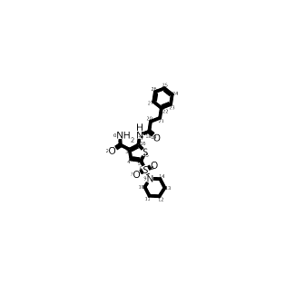 NC(=O)c1cc(S(=O)(=O)N2CCCCC2)sc1NC(=O)CCc1ccccc1